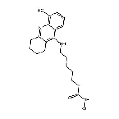 O=C(CCCCCCNc1c2c(nc3c(O)cccc13)CCCC2)NO